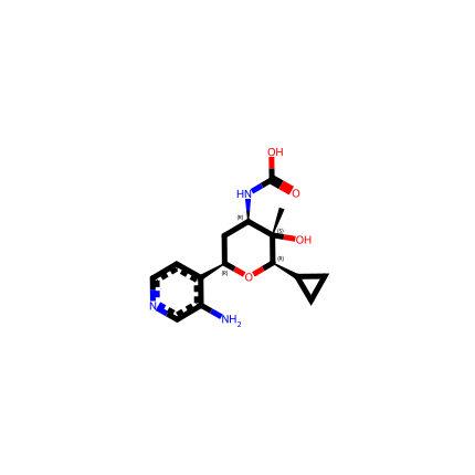 C[C@@]1(O)[C@@H](C2CC2)O[C@@H](c2ccncc2N)C[C@H]1NC(=O)O